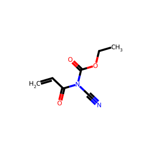 C=CC(=O)N(C#N)C(=O)OCC